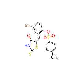 Cc1ccc(S(=O)(=O)Oc2ccc(Br)cc2C=C2SC(=S)NC2=O)cc1